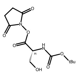 CC(C)(C)OC(=O)N[C@H](CO)C(=O)ON1C(=O)CCC1=O